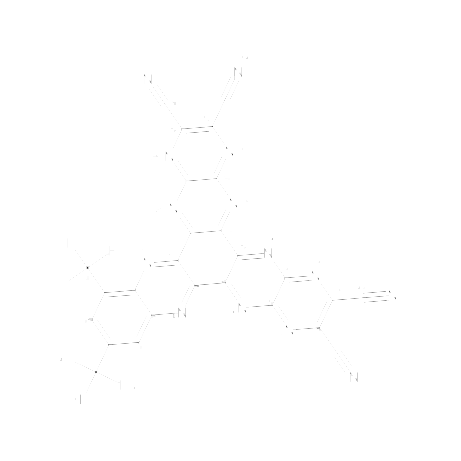 N#Cc1nc2nc3c4nc5cc(C(F)(F)F)cc(C(F)(F)F)c5nc4c4nc5nc(C#N)c(C#N)nc5nc4c3nc2nc1C#N